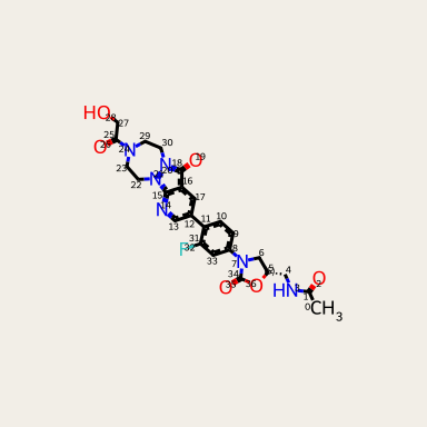 CC(=O)NC[C@H]1CN(c2ccc(-c3cnc4c(c3)c(=O)n3n4CCN(C(=O)CO)CC3)c(F)c2)C(=O)O1